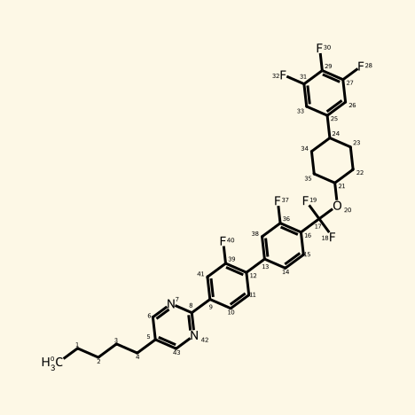 CCCCCc1cnc(-c2ccc(-c3ccc(C(F)(F)OC4CCC(c5cc(F)c(F)c(F)c5)CC4)c(F)c3)c(F)c2)nc1